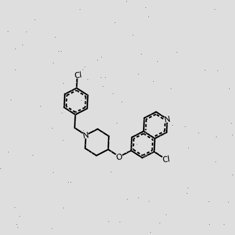 Clc1ccc(CN2CCC(Oc3cc(Cl)c4cnccc4c3)CC2)cc1